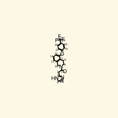 O=C(Cc1nnc[nH]1)N1CCc2c(cccc2Oc2ccc(C(F)(F)F)cc2)C1